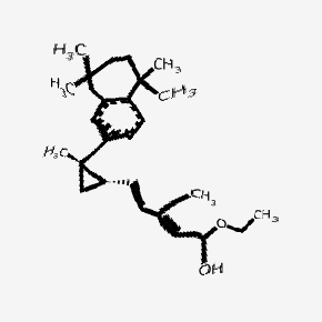 CCOC(O)/C=C(C)/C=C/[C@@H]1C[C@]1(C)c1ccc2c(c1)C(C)(C)CCC2(C)C